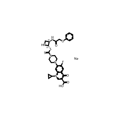 O=C(COc1ccccc1)N[C@@H]1CN[C@H]1SC(=S)N1CCN(c2cc3c(cc2F)c(=O)c(C(=O)O)cn3C2CC2)CC1.[Na]